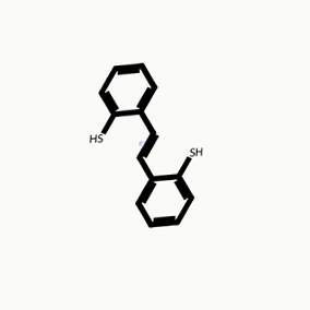 Sc1ccccc1/C=C/c1ccccc1S